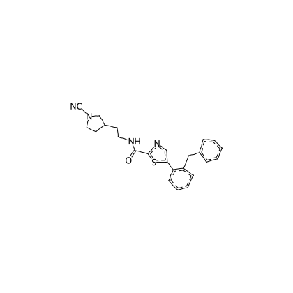 N#CN1CCC(CCNC(=O)c2ncc(-c3ccccc3Cc3ccccc3)s2)C1